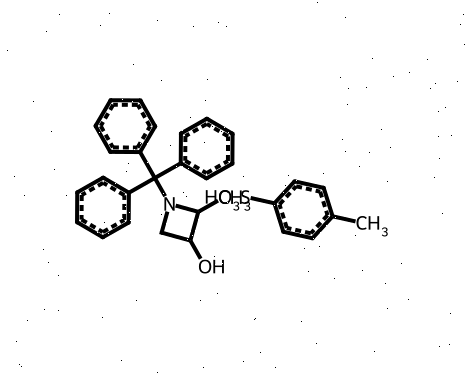 CC1C(O)CN1C(c1ccccc1)(c1ccccc1)c1ccccc1.Cc1ccc(S(=O)(=O)O)cc1